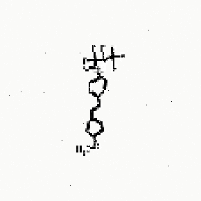 COc1ccc(C=Cc2ccc(S(=O)(=O)C(F)(F)C(F)(F)C(F)(F)F)cc2)cc1